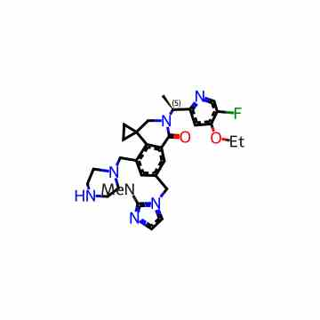 CCOc1cc([C@H](C)N2CC3(CC3)c3c(CN4CCNCC4)cc(Cn4ccnc4NC)cc3C2=O)ncc1F